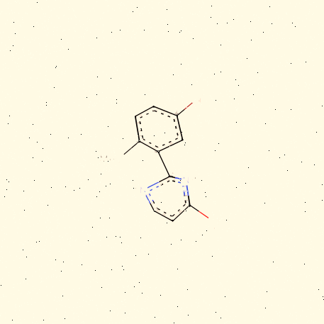 COc1ccc(Br)cc1-c1nccc(O)n1